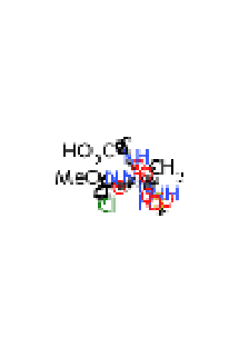 C=C[C@@H]1C[C@]1(NC(=O)[C@@H]1C[C@@H](Oc2ncc(OC)c3ccc(Cl)cc23)CN1C(=O)CNc1cccc(C(=O)O)c1)C(=O)NS(=O)(=O)C1CC1